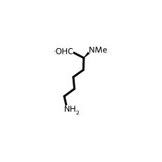 CN[C@H]([C]=O)CCCCN